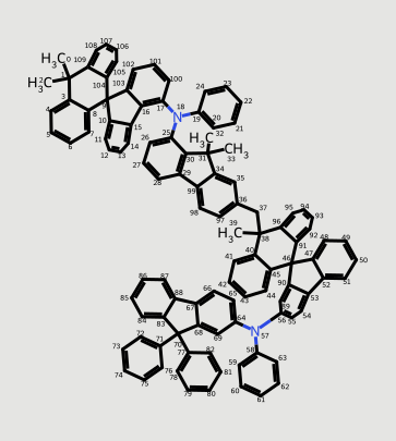 CC1(C)c2ccccc2C2(c3ccccc3-c3c(N(c4ccccc4)c4cccc5c4C(C)(C)c4cc(CC6(C)c7ccccc7C7(c8ccccc8-c8ccc(N(c9ccccc9)c9ccc%10c(c9)C(c9ccccc9)(c9ccccc9)c9ccccc9-%10)cc87)c7ccccc76)ccc4-5)cccc32)c2ccccc21